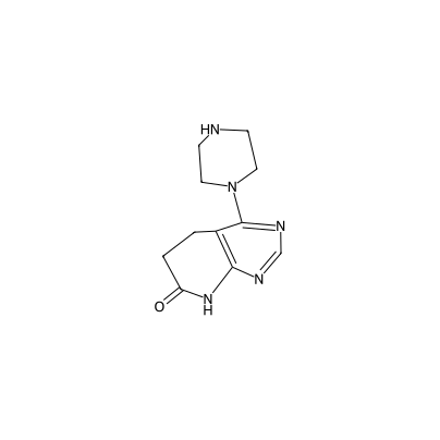 O=C1CCc2c(ncnc2N2CCNCC2)N1